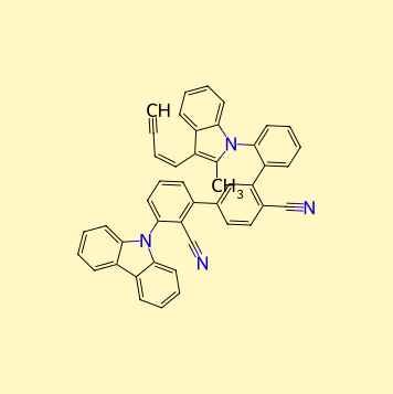 C#C/C=C\c1c(C)n(-c2ccccc2-c2cc(-c3cccc(-n4c5ccccc5c5ccccc54)c3C#N)ccc2C#N)c2ccccc12